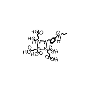 CCCNC(=O)c1cccc(CN2CCN(C(CCC(=O)O)C(=O)O)CCN(C(CCC(=O)O)C(=O)O)CCN(C(CCC(=O)O)C(=O)O)CC2)c1